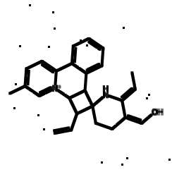 C=CC1C2C(c3ccccc3-c3ccc(C)c[n+]32)C12CCC(=C/O)/C(=C/C)N2